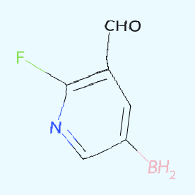 Bc1cnc(F)c(C=O)c1